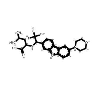 CC(C)CC(NC(c1ccc2c(c1)oc1ccc(N3CCOCC3)cc12)C(F)(F)F)C(=O)O